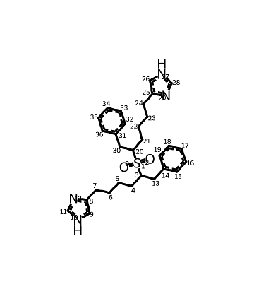 O=S(=O)(C(CCCCc1c[nH]cn1)Cc1ccccc1)C(CCCCc1c[nH]cn1)Cc1ccccc1